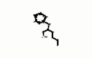 CCCCC(CO)Nc1ccccc1